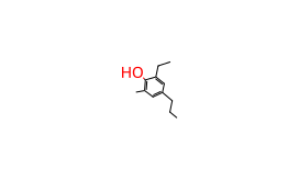 CCCc1cc(C)c(O)c(CC)c1